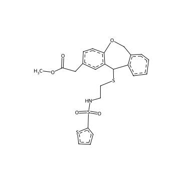 COC(=O)Cc1ccc2c(c1)C(SCCNS(=O)(=O)c1cccs1)c1ccccc1CO2